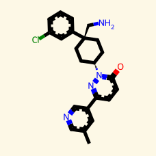 Cc1cncc(-c2ccc(=O)n([C@H]3CC[C@@](CN)(c4cccc(Cl)c4)CC3)n2)c1